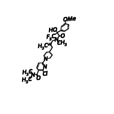 COc1cccc(C(O)(C(=O)N(C)C[C@H](C)CC2CCN(c3ccc(C(=O)N(C)C)c(Cl)n3)CC2)C(F)(F)F)c1